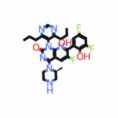 CCCc1ncnc(CCC)c1-n1c(=O)nc(N2CCNC[C@@H]2C)c2cc(F)c(-c3cc(F)cc(F)c3O)[n+](O)c21